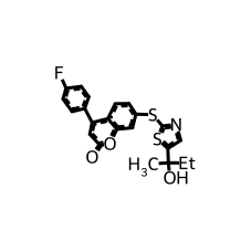 CCC(C)(O)c1cnc(Sc2ccc3c(-c4ccc(F)cc4)cc(=O)oc3c2)s1